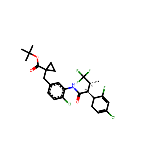 C[C@H]([C@H](C(=O)Nc1cc(CC2(C(=O)OC(C)(C)C)CC2)ccc1Cl)C1CC=C(Cl)C=C1F)C(F)(F)F